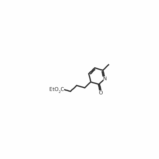 CCOC(=O)CCCC1C=CC(C)=NC1=O